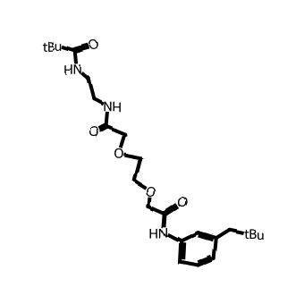 CC(C)(C)Cc1cccc(NC(=O)COCCOCC(=O)NCCNC(=O)C(C)(C)C)c1